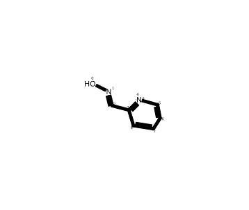 ON=CC1=[N+]C=CC=C1